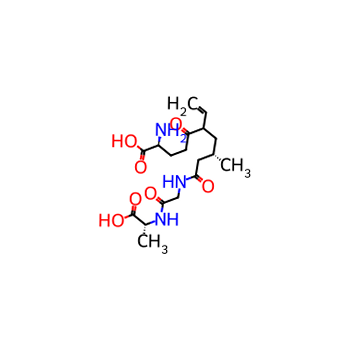 C=CC(C[C@H](C)CC(=O)NCC(=O)N[C@H](C)C(=O)O)C(=O)CC[C@H](N)C(=O)O